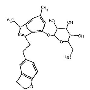 Cc1cc(OC2OC(CO)C(O)C(O)C2O)c2c(CCc3ccc4c(c3)CCO4)nn(C)c2c1